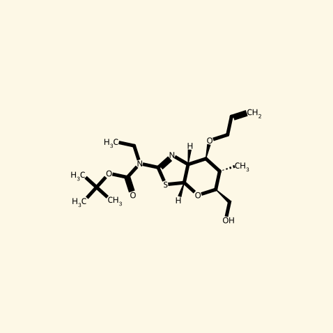 C=CCO[C@H]1[C@H](C)[C@@H](CO)O[C@@H]2SC(N(CC)C(=O)OC(C)(C)C)=N[C@H]12